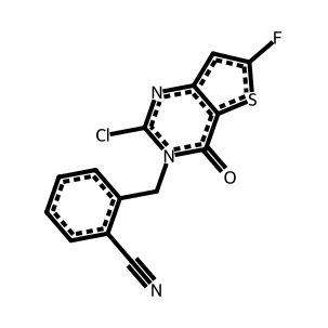 N#Cc1ccccc1Cn1c(Cl)nc2cc(F)sc2c1=O